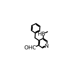 CBc1cncc(C=O)c1Cc1ccccc1